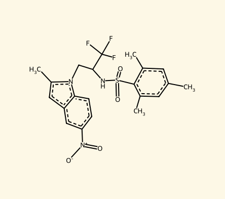 Cc1cc(C)c(S(=O)(=O)NC(Cn2c(C)cc3cc([N+](=O)[O-])ccc32)C(F)(F)F)c(C)c1